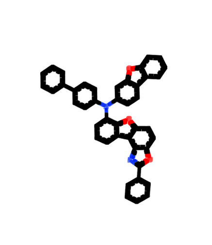 c1ccc(-c2ccc(N(c3ccc4c(c3)oc3ccccc34)c3cccc4c3oc3ccc5oc(-c6ccccc6)nc5c34)cc2)cc1